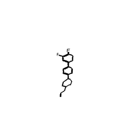 C=CCC1CCC(c2ccc(-c3ccc(F)c(F)c3)cc2)CC1